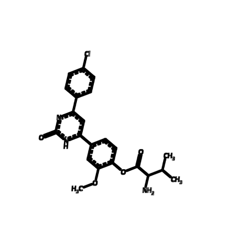 COc1cc(-c2cc(-c3ccc(Cl)cc3)nc(=O)[nH]2)ccc1OC(=O)C(N)C(C)C